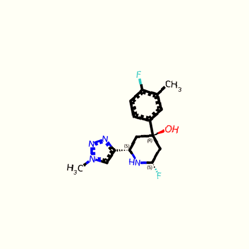 Cc1cc([C@@]2(O)C[C@@H](c3cn(C)nn3)N[C@@H](F)C2)ccc1F